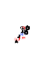 C=C(C)C(=O)OCC(O)CNCCC[Si](O[Si](C)(C)C)(c1ccccc1)c1ccccc1